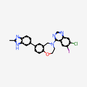 Cc1nc2ccc(-c3ccc4c(c3)CN(c3ncnc5cc(Cl)c(I)cc35)CCO4)cc2[nH]1